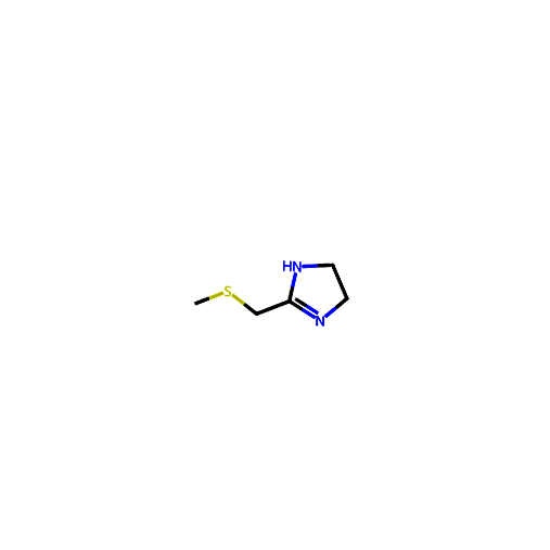 CSCC1=NCCN1